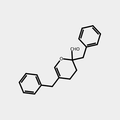 O=CC1(Cc2ccccc2)CCC(Cc2ccccc2)=CO1